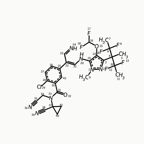 Cn1nc(C(C)(C(C)(F)F)C(C)(F)F)c(OC(F)F)c1N/C=C(\C=N)c1ccc(Cl)c(C(=O)N(CC#N)C2(C#N)CC2)c1